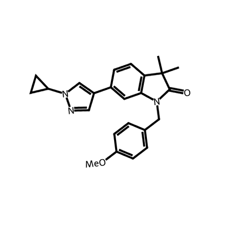 COc1ccc(CN2C(=O)C(C)(C)c3ccc(-c4cnn(C5CC5)c4)cc32)cc1